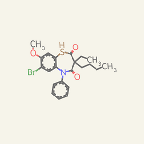 CCCCC1(CC)C(=O)[SH]c2cc(OC)c(Br)cc2N(c2ccccc2)C1=O